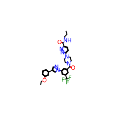 CCCNC(=O)c1ccc(N2CCN(C(=O)c3cc(-n4cc(-c5cccc(OCC)c5)cn4)cc(C(F)(F)F)c3)CC2)nn1